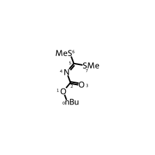 CCCCOC(=O)N=C(SC)SC